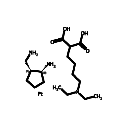 CCN(CC)CCCCC(C(=O)O)C(=O)O.NC[C@H]1CCC[C@H]1N.[Pt]